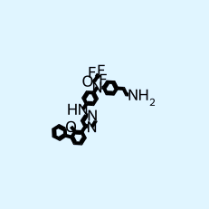 NCCc1ccc(N(C(=O)C(F)(F)F)c2ccc(Nc3cc(-c4cccc5c4oc4ccccc45)ncn3)cc2)cc1